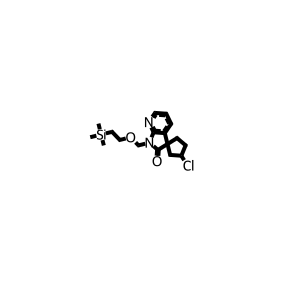 C[Si](C)(C)CCOCN1C(=O)C2(CCC(Cl)C2)c2cccnc21